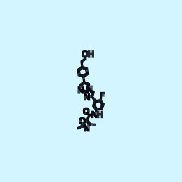 Cc1nc(C)c(C(=O)Nc2ccc(F)c(-c3cn4cc(-c5ccc(CCO)cc5)cnc4n3)c2)o1